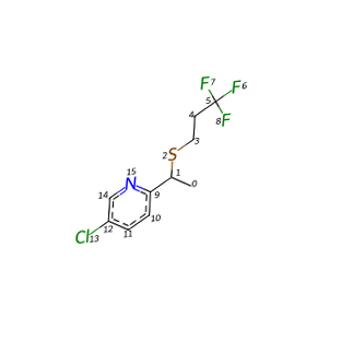 CC(SCCC(F)(F)F)c1ccc(Cl)cn1